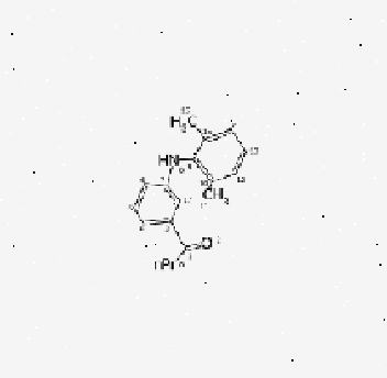 CCCC(=O)c1cccc(Nc2c(C)cccc2C)c1